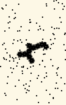 C1=Cc2c(oc3ccc(-c4ccc(-c5ccc6c(c5)c5ccccc5n6-c5ccc(N(c6ccc(-c7ccccc7)cc6)c6ccc(-c7ccccc7)cc6)cc5)cc4)cc23)CC1